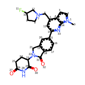 Cn1ccc2c(CN3CCC(F)C3)cc(-c3ccc4c(c3)CN(C3CCC(=O)NC3=O)C4=O)nc21